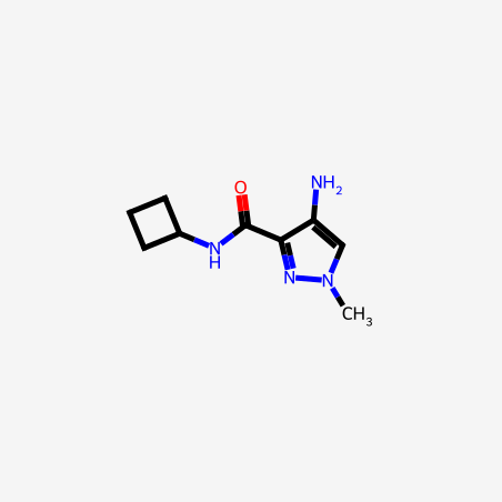 Cn1cc(N)c(C(=O)NC2CCC2)n1